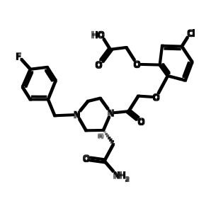 NC(=O)C[C@@H]1CN(Cc2ccc(F)cc2)CCN1C(=O)COc1ccc(Cl)cc1OCC(=O)O